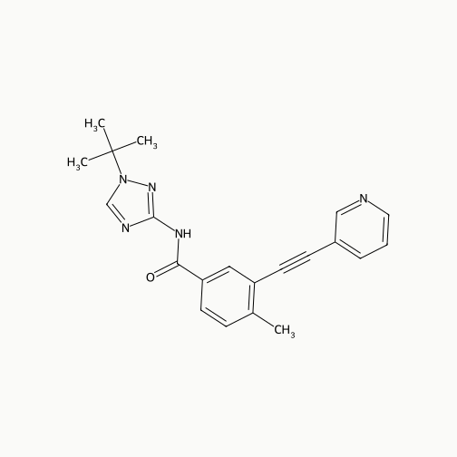 Cc1ccc(C(=O)Nc2ncn(C(C)(C)C)n2)cc1C#Cc1cccnc1